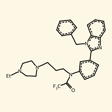 CCN1CCN(CCCN(C(=O)C(F)(F)F)c2cccc(-c3nc4ccccc4n3Cc3ccccc3)c2)CC1